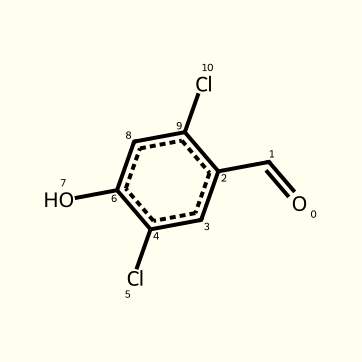 O=Cc1cc(Cl)c(O)cc1Cl